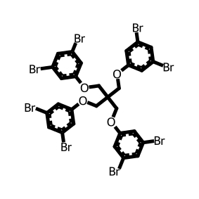 Brc1cc(Br)cc(OCC(COc2cc(Br)cc(Br)c2)(COc2cc(Br)cc(Br)c2)COc2cc(Br)cc(Br)c2)c1